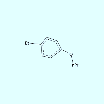 CCCOc1[c]cc(CC)cc1